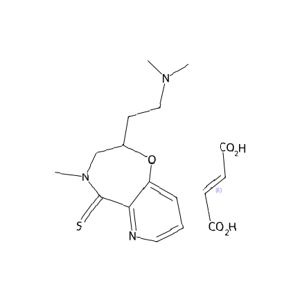 CN(C)CCC1CN(C)C(=S)c2ncccc2O1.O=C(O)/C=C/C(=O)O